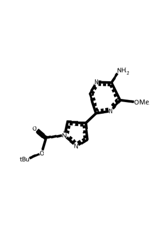 COc1nc(-c2cnn(C(=O)OC(C)(C)C)c2)cnc1N